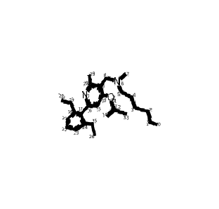 CCCCCCN(C)Cc1c(OC(C)C)cc(-c2c(CC)cccc2CC)nc1C